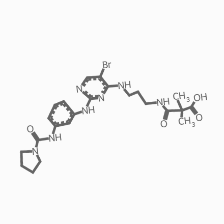 CC(C)(C(=O)O)C(=O)NCCCNc1nc(Nc2cccc(NC(=O)N3CCCC3)c2)ncc1Br